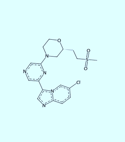 CS(=O)(=O)CC[C@@H]1CN(c2cncc(-c3cnc4ccc(Cl)cn34)n2)CCO1